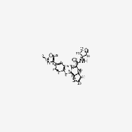 Cc1nc(-c2ccc(Cc3cc(C(=O)N[C@@H]4CCOC4)nc4ccsc34)cc2)co1